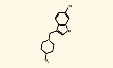 NC1CCN(Cc2c[nH]c3cc(O)ccc23)CC1